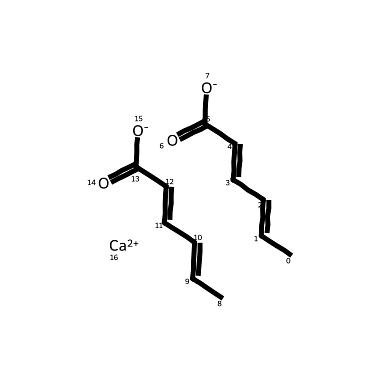 CC=CC=CC(=O)[O-].CC=CC=CC(=O)[O-].[Ca+2]